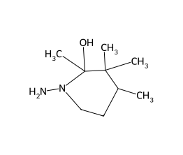 CC1CCN(N)C(C)(O)C1(C)C